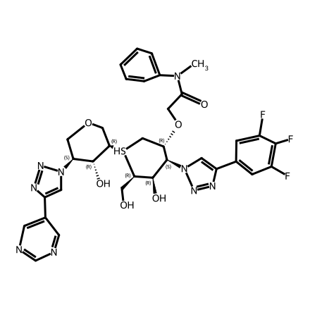 CN(C(=O)CO[C@H]1C[SH]([C@@H]2COC[C@H](n3cc(-c4cncnc4)nn3)[C@H]2O)[C@H](CO)[C@H](O)[C@@H]1n1cc(-c2cc(F)c(F)c(F)c2)nn1)c1ccccc1